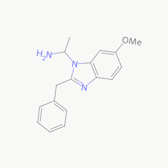 COc1ccc2nc(Cc3ccccc3)n(C(C)N)c2c1